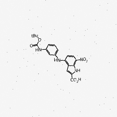 CC(C)(C)OC(=O)Nc1cccc(Nc2ccc([N+](=O)[O-])c3[nH]c(C(=O)O)cc23)c1